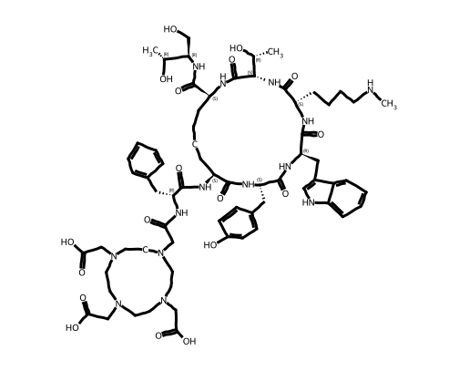 CNCCCC[C@@H]1NC(=O)[C@@H](Cc2c[nH]c3ccccc23)NC(=O)[C@H](Cc2ccc(O)cc2)NC(=O)[C@@H](NC(=O)[C@@H](Cc2ccccc2)NC(=O)CN2CCN(CC(=O)O)CCN(CC(=O)O)CCN(CC(=O)O)CC2)CCCC[C@@H](C(=O)N[C@H](CO)[C@@H](C)O)NC(=O)[C@H]([C@@H](C)O)NC1=O